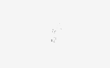 CCN(CC)C(=O)N1CCC2(CCn3nc(-c4cnc5ccccc5c4)cc32)C1